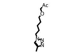 CC(=O)COCCCCCn1cc(C)nn1